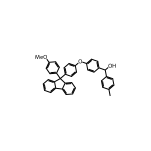 COc1ccc(C2(c3ccc(Oc4ccc(C(O)c5ccc(C)cc5)cc4)cc3)c3ccccc3-c3ccccc32)cc1